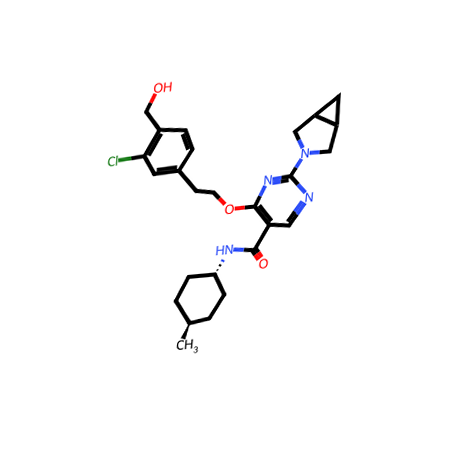 C[C@H]1CC[C@H](NC(=O)c2cnc(N3CC4CC4C3)nc2OCCc2ccc(CO)c(Cl)c2)CC1